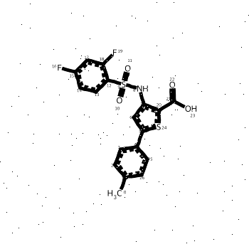 Cc1ccc(-c2cc(NS(=O)(=O)c3ccc(F)cc3F)c(C(=O)O)s2)cc1